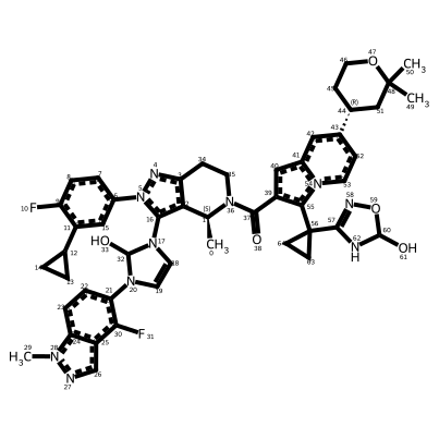 C[C@H]1c2c(nn(-c3ccc(F)c(C4CC4)c3)c2N2C=CN(c3ccc4c(cnn4C)c3F)C2O)CCN1C(=O)c1cc2cc([C@@H]3CCOC(C)(C)C3)ccn2c1C1(C2=NOC(O)N2)CC1